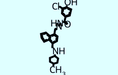 CC1CCC(NCc2ccc(/C=N/NC(=O)c3ccc(O)c(Cl)c3)c3ccccc23)CC1